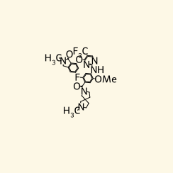 COc1cc(C(=O)N2CCC3(CCN(C)C3)C2)c(F)cc1Nc1ncc(C(F)(F)F)c(Oc2cccc3c2C(=O)N(C)C3)n1